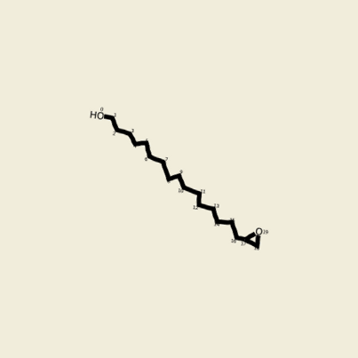 OCCCCCCCCCCCCCCCCC1CO1